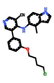 Cc1c(Nc2c(C#N)cncc2-c2cccc(OCCCCCl)c2)ccc2[nH]ccc12